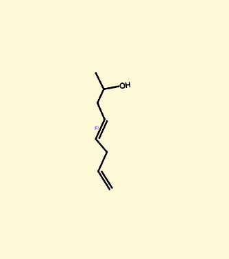 C=CC/C=C/CC(C)O